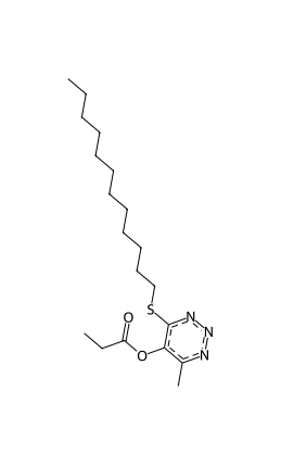 CCCCCCCCCCCCSc1nnnc(C)c1OC(=O)CC